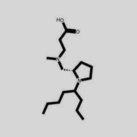 CCCCC(CCC)N1CCC[C@H]1CN(C)CCC(=O)O